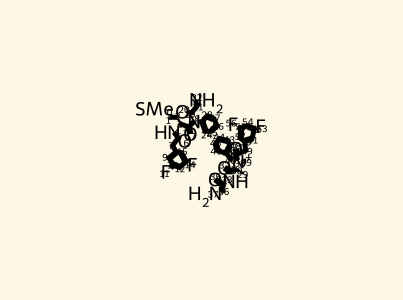 CSCC[C@H](NC(=O)Cc1cc(F)cc(F)c1)C(=O)N(C(=O)CN)c1ccccc1.C[C@@H](C(=O)NC(=O)CN)[N+](C)(Cc1ccccc1)C(=O)Cc1cc(F)cc(F)c1